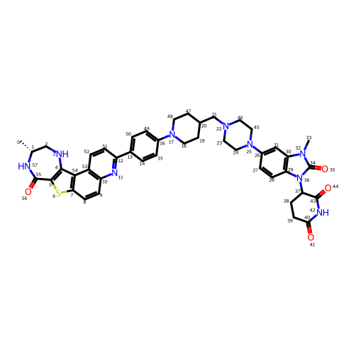 C[C@@H]1CNc2c(sc3ccc4nc(-c5ccc(N6CCC(CN7CCN(c8ccc9c(c8)n(C)c(=O)n9C8CCC(=O)NC8=O)CC7)CC6)cc5)ccc4c23)C(=O)N1